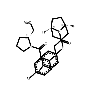 COC[C@H]1CCCN1C(=O)c1cc(Cl)ccc1OCC(=O)N1[C@@H]2CC[C@H]1CC(Oc1ccc(F)cc1)C2